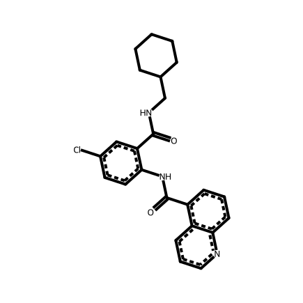 O=C(NCC1CCCCC1)c1cc(Cl)ccc1NC(=O)c1cccc2ncccc12